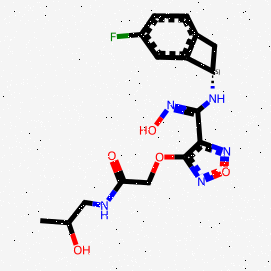 CC(O)CNC(=O)COc1nonc1C(=NO)N[C@H]1Cc2ccc(F)cc21